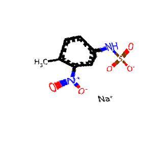 Cc1ccc(NS(=O)(=O)[O-])cc1[N+](=O)[O-].[Na+]